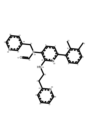 Cc1cccc(-c2ccc(N(C=O)Cc3cccnc3)c(NCCc3ccccn3)n2)c1C